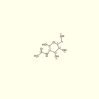 [CH2]C(=O)NC1C(O)OC(CO)C(O)C1O